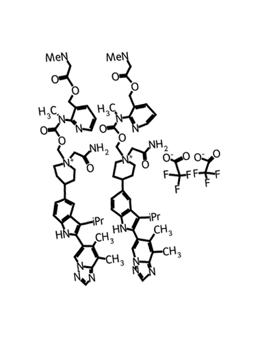 CNCC(=O)OCc1cccnc1N(C)C(=O)OC[N+]1(CC(N)=O)CCC(c2ccc3[nH]c(-c4cn5ncnc5c(C)c4C)c(C(C)C)c3c2)CC1.CNCC(=O)OCc1cccnc1N(C)C(=O)OC[N+]1(CC(N)=O)CCC(c2ccc3[nH]c(-c4cn5ncnc5c(C)c4C)c(C(C)C)c3c2)CC1.O=C([O-])C(F)(F)F.O=C([O-])C(F)(F)F